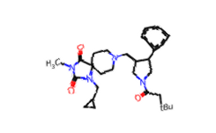 CN1C(=O)N(CC2CC2)C2(CCN(CC3CN(C(=O)CC(C)(C)C)CC3c3ccccc3)CC2)C1=O